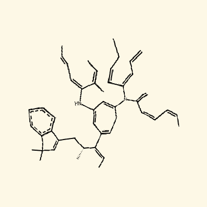 C=C/C=C(\C=C/CC)N(C(=C)/C=C\C=C/C)C1=CC(NC(=C/C=C/C)/C(C)=C\C)=CC(/C(=C/C)[C@H](C)CC2=CC(C)(C)c3ccccc32)=CC1